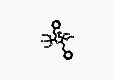 CCCCCCC(OCCCC)(OCCCC)C(OCc1ccccc1)OC(OCc1ccccc1)C(CCCCCC)(OCCCC)OCCCC